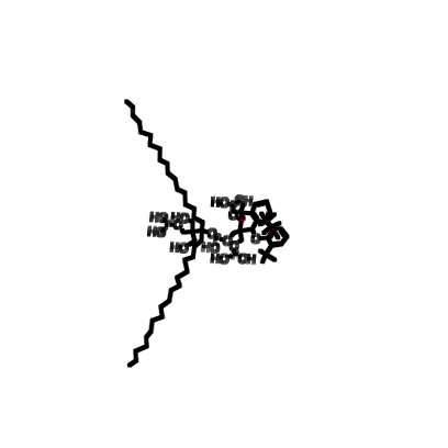 CCCCCCCCCCCCCCCCCCC(CCCCCCCCCCCCCCCCCC)(OP(O)OCC(COP(O)O)(COP(O)O)C(Oc1c(C(C)(C)C)cccc1C(C)(C)C)c1c(C(C)(C)C)cccc1C(C)(C)C)C(CO)(CO)COP(O)O